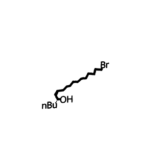 CCCC[C@@H](O)/C=C\CCCCCCCCCCCBr